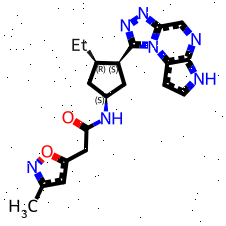 CC[C@@H]1C[C@H](NC(=O)Cc2cc(C)no2)C[C@@H]1c1nnc2cnc3[nH]ccc3n12